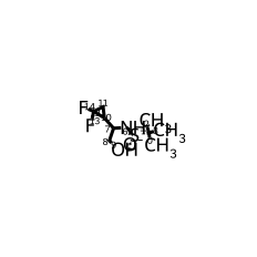 CC(C)(C)[S@@+]([O-])NC(CO)C1CC1(F)F